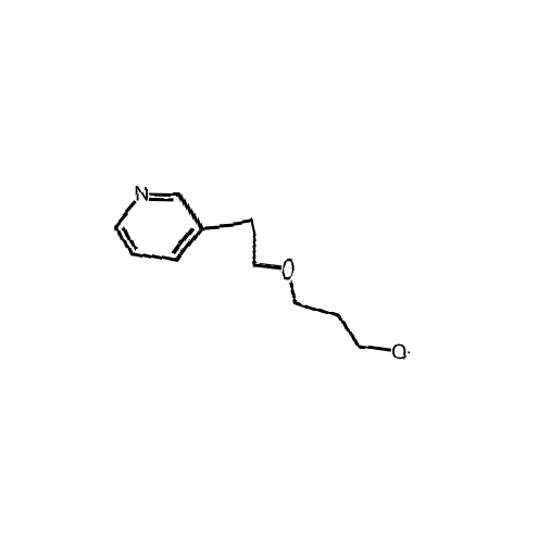 [O]CCCOCCc1cccnc1